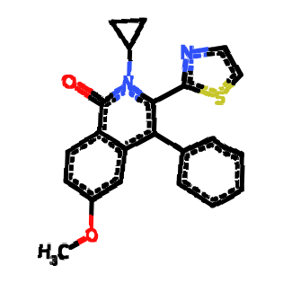 COc1ccc2c(=O)n(C3CC3)c(-c3nccs3)c(-c3ccccc3)c2c1